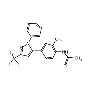 CC(=O)Nc1ccc(-c2cc(C(F)(F)F)nn2-c2ccccc2)cc1C